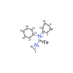 [Te]=C(N1CC1)N(c1ccccc1)c1ccccc1